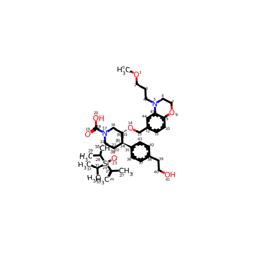 COCCCN1CCOc2ccc(CO[C@H]3CN(C(=O)O)C[C@@H](O[Si](C(C)C)(C(C)C)C(C)C)[C@@H]3c3ccc(CCO)cc3)cc21